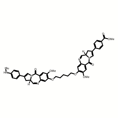 COC(=O)c1ccc(C2=CN3C(=O)c4cc(OC)c(OCCCCCOc5cc6c(cc5OC)C(=O)N5C=C(c7ccc(NC(C)(C)C)cc7)C[C@H]5C=N6)cc4N=C[C@@H]3C2)cc1